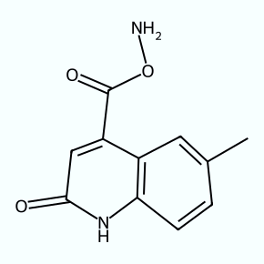 Cc1ccc2[nH]c(=O)cc(C(=O)ON)c2c1